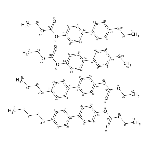 CCCCSc1ccc(-c2ccc(OC(=O)OCC)cc2)cc1.CCCSc1ccc(-c2ccc(OC(=O)OCC)cc2)cc1.CCOC(=O)Oc1ccc(-c2ccc(SC)cc2)cc1.CCOC(=O)Oc1ccc(-c2ccc(SCC)cc2)cc1